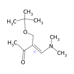 CC(=O)/C(=C/N(C)C)COC(C)(C)C